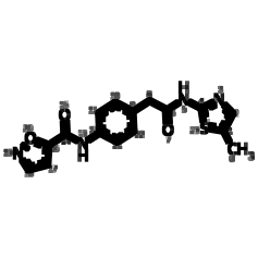 Cc1cnc(NC(=O)Cc2ccc(NC(=O)c3ccno3)cc2)s1